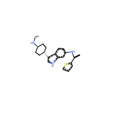 C=C(Nc1ccc2c(c1)[nH]cc2[C@H]1CC[C@H](NCCC)CC1)c1cccs1